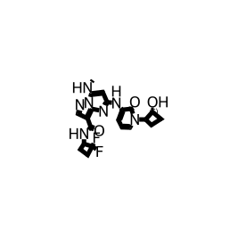 CNc1cc(Nc2cccn(C3CC[C@@H]3O)c2=O)nc2c(C(=O)NC3CCC3(F)F)cnn12